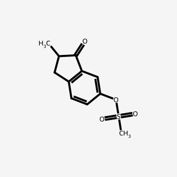 CC1Cc2ccc(OS(C)(=O)=O)cc2C1=O